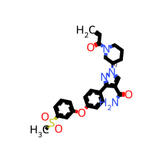 C=CC(=O)N1CCC[C@@H](n2cc(C(N)=O)c(-c3ccc(Oc4cccc(S(C)(=O)=O)c4)cc3)n2)C1